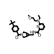 CCN(CCOC)c1cc[c]c(C(=O)NCC2C3CN(C(=O)c4ccc(C(C)(C)C)cc4)CC23)n1